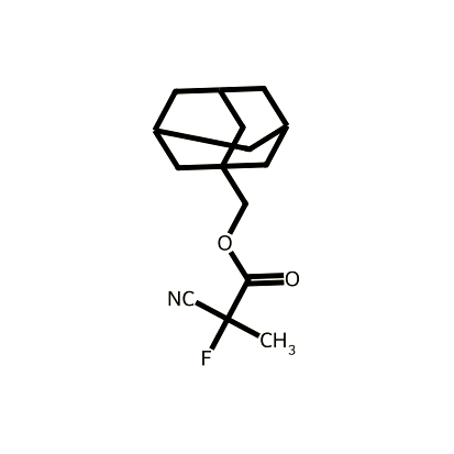 CC(F)(C#N)C(=O)OCC12CC3CC(CC(C3)C1)C2